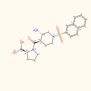 N[C@@H]1CN(S(=O)(=O)c2ccc3ccccc3c2)CC[C@H]1C(=O)N1CCC[C@H]1B(O)O